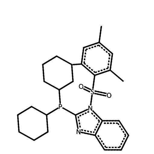 Cc1cc(C)c(S(=O)(=O)n2c(P(C3CCCCC3)C3CCCCC3)nc3ccccc32)c(C)c1